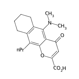 CCCc1c2c(c(N(C)C)c3c(=O)cc(C(=O)O)oc13)CCCC2